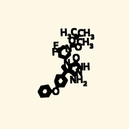 CC(C)(C)OC(=O)N1C[C@H](n2cc(-c3ccc(Oc4ccccc4)cc3)c3c(N)n[nH]c(=O)c32)CC(F)(F)C1